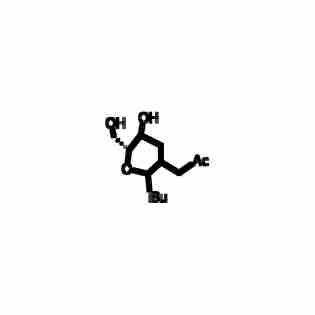 CCC(C)C1O[C@H](CO)C(O)CC1CC(C)=O